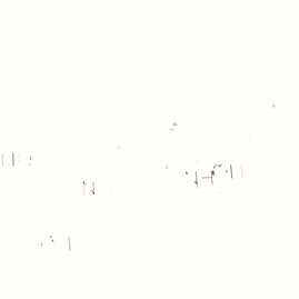 CC=C(C)C1C=C(N(CCO)CCO)C=CC1(N)C(=O)C(O)c1ccccc1